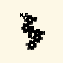 Cc1cc(F)cc(-c2ccnc3[nH]c(-c4n[nH]c5cnc(-c6ccccn6)cc45)nc23)c1